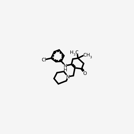 CC1(C)CC(=O)C(CN2CCCCC2)=C(Nc2cccc(Cl)c2)C1